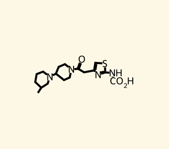 CC1CCCN(C2CCN(C(=O)Cc3csc(NC(=O)O)n3)CC2)C1